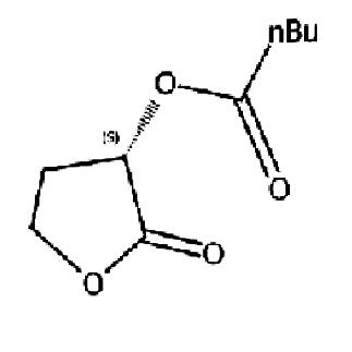 CCCCC(=O)O[C@H]1CCOC1=O